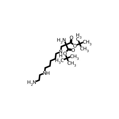 CC(C)(C)OC(=O)C(N)(CNCCCCCNCCN)C(=O)OC(C)(C)C